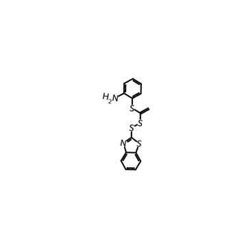 C=C(SSc1nc2ccccc2s1)Sc1ccccc1N